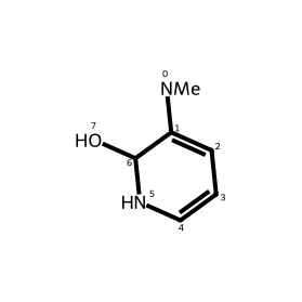 CNC1=CC=CNC1O